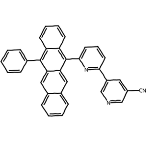 N#Cc1cncc(-c2cccc(-c3c4ccccc4c(-c4ccccc4)c4cc5ccccc5cc34)n2)c1